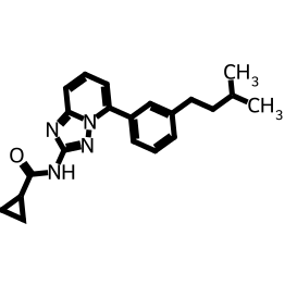 CC(C)CCc1cccc(-c2cccc3nc(NC(=O)C4CC4)nn23)c1